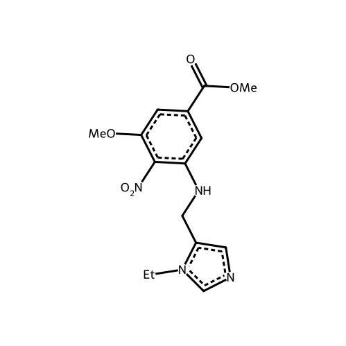 CCn1cncc1CNc1cc(C(=O)OC)cc(OC)c1[N+](=O)[O-]